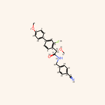 COc1ccc(-c2ccc([C@H](OC)C(=O)NCc3ccc(C#N)cc3)c(F)c2)cc1